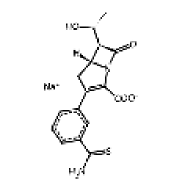 C[C@@H](O)[C@H]1C(=O)N2C(C(=O)[O-])=C(c3cccc(C(N)=S)c3)C[C@H]12.[Na+]